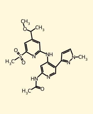 COC(C)c1cc(Nc2cc(NC(C)=O)ncc2-c2ccn(C)n2)nc(S(C)(=O)=O)c1